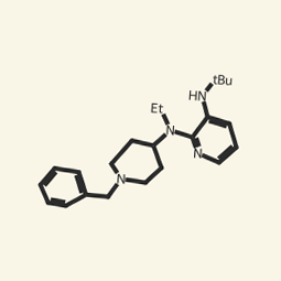 CCN(c1ncccc1NC(C)(C)C)C1CCN(Cc2ccccc2)CC1